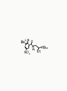 CCCCC(CC)CNC(=O)c1cc([N+](=O)[O-])cc(Br)c1N